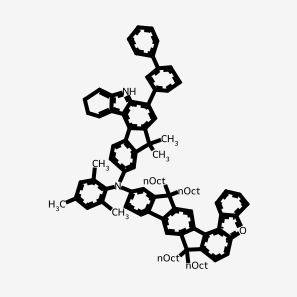 CCCCCCCCC1(CCCCCCCC)c2cc(N(c3ccc4c(c3)C(C)(C)c3cc(-c5cccc(-c6ccccc6)c5)c5[nH]c6c(c5c3-4)=CCCC=6)c3c(C)cc(C)cc3C)ccc2-c2cc3c(cc21)-c1c(ccc2oc4ccccc4c12)C3(CCCCCCCC)CCCCCCCC